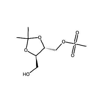 CC1(C)O[C@H](CO)[C@@H](COS(C)(=O)=O)O1